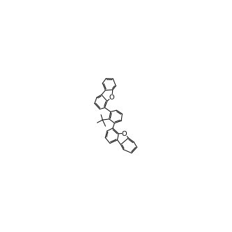 CC(C)(C)c1c(-c2cccc3c2oc2ccccc23)cccc1-c1cccc2c1oc1ccccc12